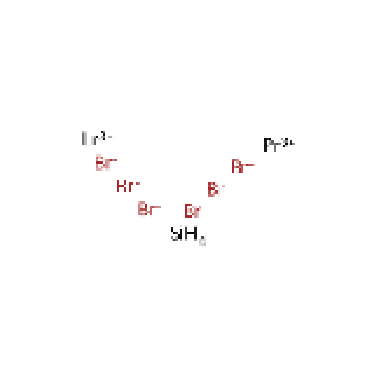 [Br-].[Br-].[Br-].[Br-].[Br-].[Br-].[Lr+3].[Pr+3].[SiH4]